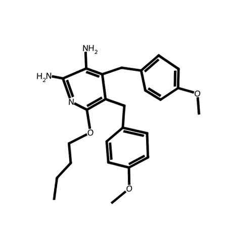 CCCCOc1nc(N)c(N)c(Cc2ccc(OC)cc2)c1Cc1ccc(OC)cc1